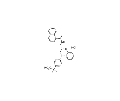 CC(NC[C@H]1C[C@@H](c2ccc(C(C)(C)C(=O)O)cc2)c2ccccc2O1)c1cccc2ccccc12.Cl